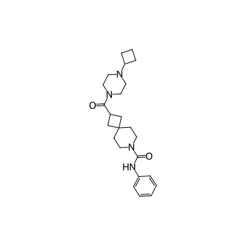 O=C(Nc1ccccc1)N1CCC2(CC1)CC(C(=O)N1CCN(C3CCC3)CC1)C2